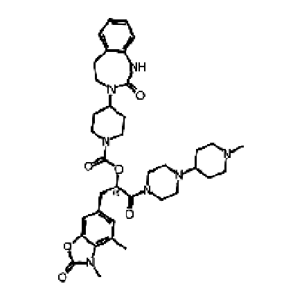 Cc1cc(C[C@@H](OC(=O)N2CCC(N3CCc4ccccc4NC3=O)CC2)C(=O)N2CCN(C3CCN(C)CC3)CC2)cc2oc(=O)n(C)c12